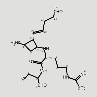 CC(C)C[C@H](C=O)NC(=O)[C@@H](CCCNC(=N)N)NC1CC(N)[C@@H]1C=CCCC=O